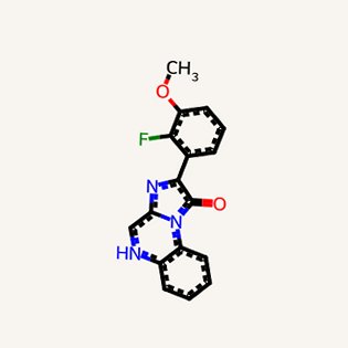 COc1cccc(-c2nc3c[nH]c4ccccc4n-3c2=O)c1F